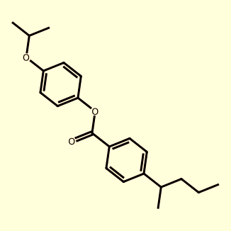 CCCC(C)c1ccc(C(=O)Oc2ccc(OC(C)C)cc2)cc1